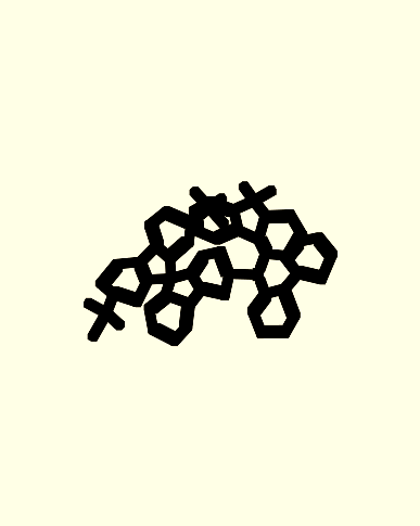 CC(C)(C)c1ccc2c(c1)C1(c3ccccc3-c3cc(N(c4ccccc4-c4ccccc4)c4cccc5c4-c4ccccc4C5(C)C)ccc31)c1cc(C(C)(C)C)ccc1-2